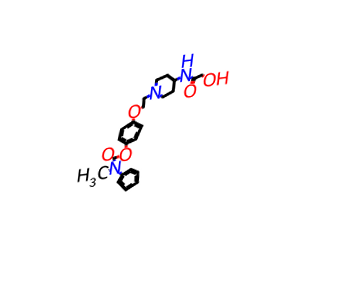 CN(C(=O)Oc1ccc(OCCN2CCC(NC(=O)CO)CC2)cc1)c1ccccc1